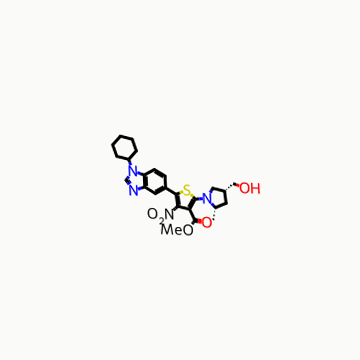 COC(=O)c1c(N2C[C@H](CO)C[C@@H]2C)sc(-c2ccc3c(c2)ncn3C2CCCCC2)c1[N+](=O)[O-]